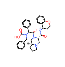 O=C(N[C@@H]1CCOc2ccccc21)[C@@H]1CN2CCC[C@@H]2CN1C(=O)[C@H](c1ccccc1)N(Cc1ccccc1)C(=O)O